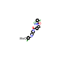 COc1ccc(CN2CCC3(CC2)CCN(C(=O)c2ccc4c(c2)C(NC(=O)c2c(F)cccc2Cl)CC4)CC3)cc1F